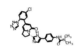 CN(C)C(=O)Nc1ccc(-c2cnc([C@@H]3CCc4cc(-c5cc(Cl)ccc5-n5cnnn5)cc(=O)n43)[nH]2)cc1